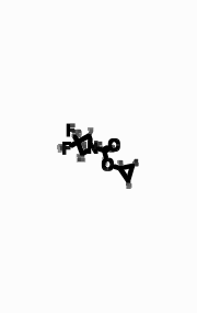 O=C(OC1CC1)N1CC(F)(F)C1